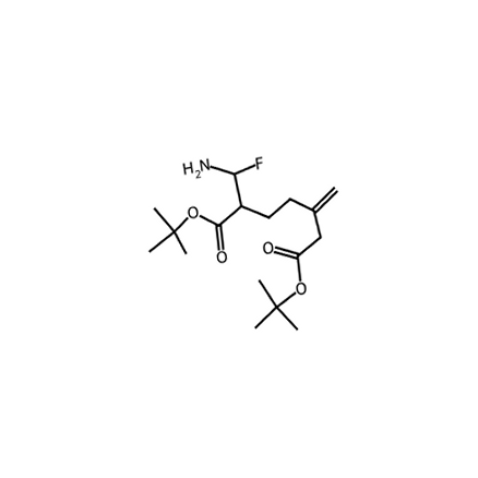 C=C(CCC(C(=O)OC(C)(C)C)C(N)F)CC(=O)OC(C)(C)C